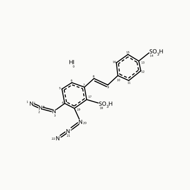 I.[N-]=[N+]=Nc1ccc(C=Cc2ccc(S(=O)(=O)O)cc2)c(S(=O)(=O)O)c1N=[N+]=[N-]